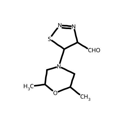 CC1CN(C2SN=NC2C=O)CC(C)O1